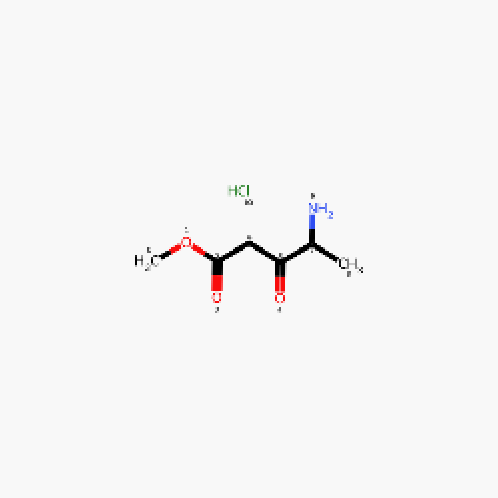 COC(=O)CC(=O)C(C)N.Cl